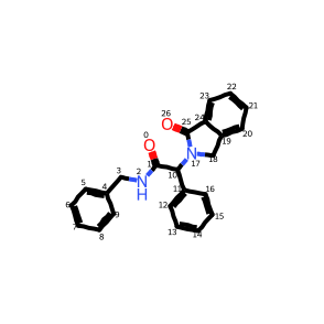 O=C(NCc1ccccc1)C(c1ccccc1)N1Cc2ccccc2C1=O